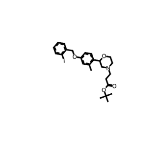 Cc1cc(OCc2ccccc2I)ccc1C1CN(CCC(=O)OC(C)(C)C)CCO1